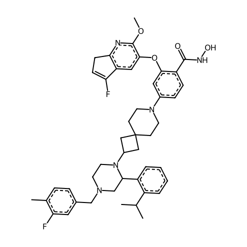 COc1nc2c(cc1Oc1cc(N3CCC4(CC3)CC(N3CCN(Cc5ccc(C)c(F)c5)CC3c3ccccc3C(C)C)C4)ccc1C(=O)NO)C(F)=CC2